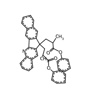 CC(CC1(CC(C)C(=O)Oc2ccccc2)c2cc3ccccc3cc2-c2nc3ccccc3cc21)C(=O)Oc1ccccc1